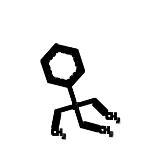 C=C[Si](C=C)(C=C)c1cc[c]cc1